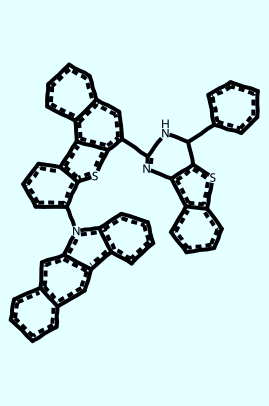 c1ccc(C2NC(c3cc4ccccc4c4c3sc3c(-n5c6ccccc6c6cc7ccccc7cc65)cccc34)=Nc3c2sc2ccccc32)cc1